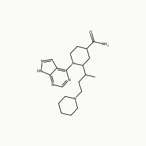 CC(CCN1CCCCC1)C1CC(C(N)=O)CCN1c1ncnc2[nH]ncc12